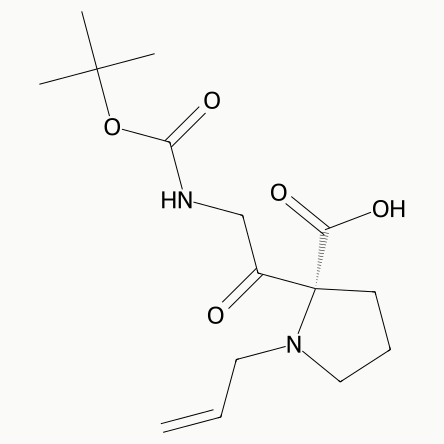 C=CCN1CCC[C@]1(C(=O)O)C(=O)CNC(=O)OC(C)(C)C